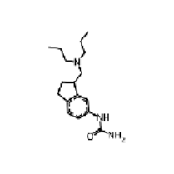 CCCN(CCC)CC1CCc2ccc(NC(N)=O)cc21